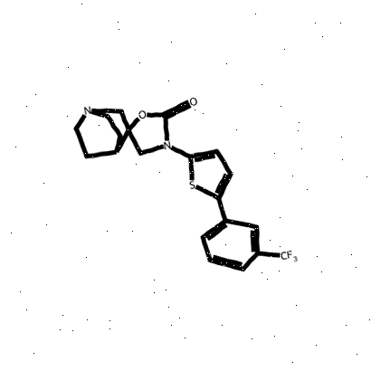 O=C1OC2(CN3CCC2CC3)CN1c1ccc(-c2cccc(C(F)(F)F)c2)s1